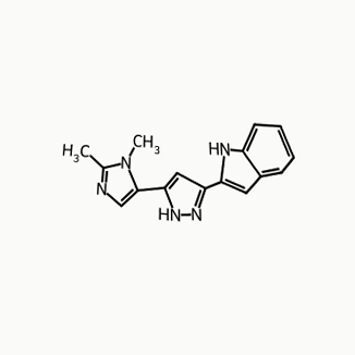 Cc1ncc(-c2cc(-c3cc4ccccc4[nH]3)n[nH]2)n1C